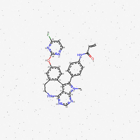 C=CC(=O)Nc1ccc(-c2c3c4c(ncnc4n2C)NCCc2cc(Oc4nccc(F)n4)ccc2-3)cc1